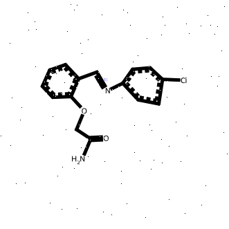 NC(=O)COc1ccccc1/C=N/c1ccc(Cl)cc1